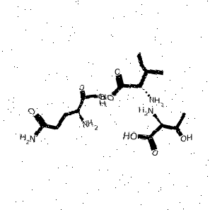 CC(C)[C@H](N)C(=O)O.CC(O)[C@H](N)C(=O)O.NC(=O)CC[C@H](N)C(=O)O